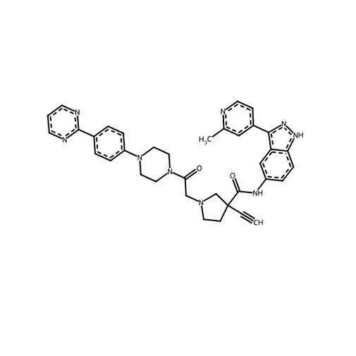 C#CC1(C(=O)Nc2ccc3[nH]nc(-c4ccnc(C)c4)c3c2)CCN(CC(=O)N2CCN(c3ccc(-c4ncccn4)cc3)CC2)C1